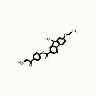 C=CC(=O)c1ccc(OC(=O)c2ccc3c(c2)C(C)c2cc(OCC)ccc2-3)cc1